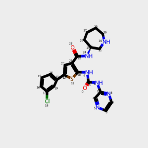 O=C(Nc1cnccn1)Nc1sc(-c2cccc(Cl)c2)cc1C(=O)N[C@H]1CCCCNC1